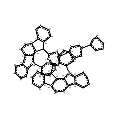 c1ccc(-c2ccc(-c3nc(C4c5ccccc5-c5ccc6c7ccccc7n(-c7ccccc7)c6c54)nc(C4c5ccccc5-c5ccc6c7ccccc7n(-c7ccccc7)c6c54)n3)cc2)cc1